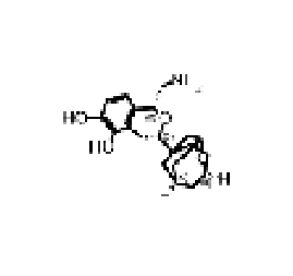 NC[C@@H]1O[C@H](C23CC[C@@H]4CC(C[C@H](C4)C2)C3)Cc2c1ccc(O)c2O